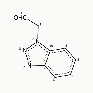 O=CCn1nnc2ccccc21